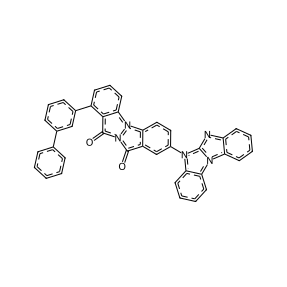 O=c1c2cc(-n3c4ccccc4n4c5ccccc5nc34)ccc2n2c3cccc(-c4cccc(-c5ccccc5)c4)c3c(=O)n12